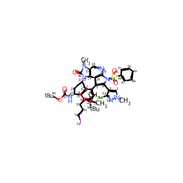 Cn1cc(-c2c(-c3ccc(CCCI)cc3)c3c(ncc4c3n([C@H]3C[C@H](NC(=O)OC(C)(C)C)[C@H](O[Si](C)(C)C(C)(C)C)C3)c(=O)n4C)n2S(=O)(=O)c2ccccc2)c(F)n1